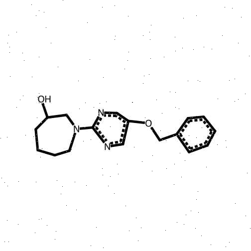 OC1CCCCN(c2ncc(OCc3ccccc3)cn2)C1